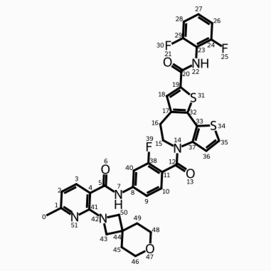 Cc1ccc(C(=O)Nc2ccc(C(=O)N3CCc4cc(C(=O)Nc5c(F)cccc5F)sc4-c4sccc43)c(F)c2)c(N2CC3(CCOCC3)C2)n1